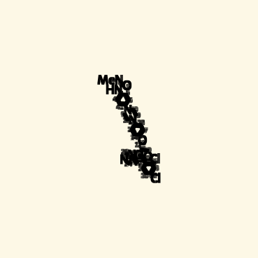 CNC(=O)Nc1ccc(N2CCN(c3ccc(OC[C@@H]4CO[C@@](Cn5cncn5)(c5ccc(Cl)cc5Cl)O4)cc3)CC2)cc1